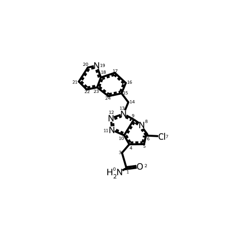 NC(=O)Cc1cc(Cl)nc2c1nnn2Cc1ccc2ncccc2c1